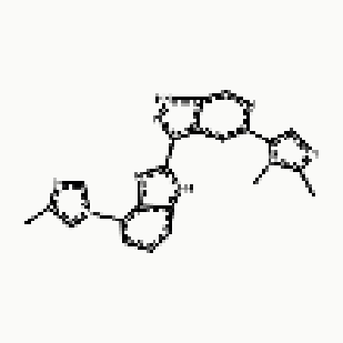 Cc1cn(-c2cccc3[nH]c(-c4n[nH]c5cnc(-c6cnc(C)n6C)cc45)nc23)cn1